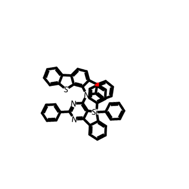 c1ccc(-c2nc3c(c(-n4c5ccccc5c5ccc6c7ccccc7sc6c54)n2)[Si](c2ccccc2)(c2ccccc2)c2ccccc2-3)cc1